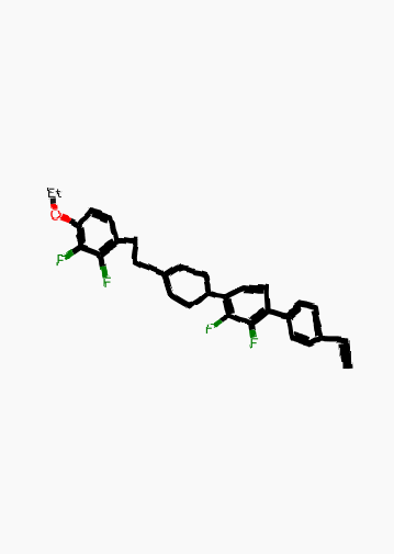 C=Cc1ccc(-c2ccc(C3CCC(CCc4ccc(OCC)c(F)c4F)CC3)c(F)c2F)cc1